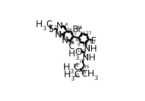 CSc1ncc2cc(-c3cc(NC(=O)NCCC(C)(C)C)c(F)cc3Br)c(C)nc2n1